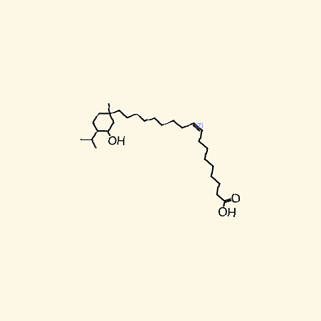 CC(C)C1CCC(C)(CCCCCCCC/C=C\CCCCCCCC(=O)O)CC1O